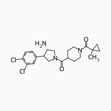 CC1(C(=O)N2CCC(C(=O)N3CC(c4ccc(Cl)c(Cl)c4)[C@H](N)C3)CC2)CC1